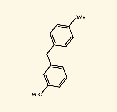 COc1[c]c(Cc2ccc(OC)cc2)ccc1